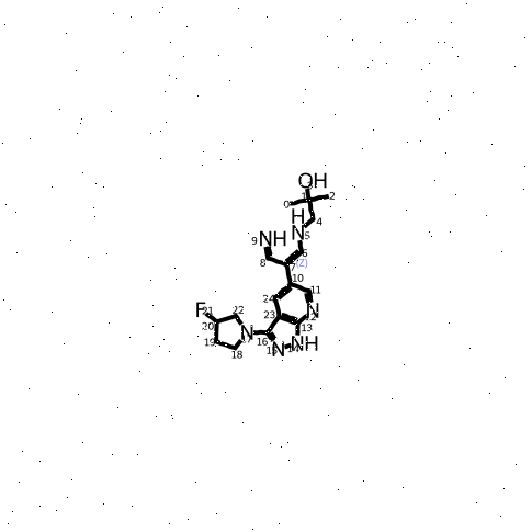 CC(C)(O)CN/C=C(\C=N)c1cnc2[nH]nc(N3CCC(F)C3)c2c1